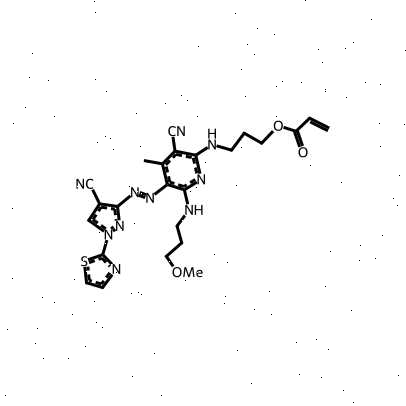 C=CC(=O)OCCCNc1nc(NCCCOC)c(N=Nc2nn(-c3nccs3)cc2C#N)c(C)c1C#N